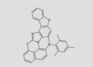 Cc1cc(C)c(B2c3cc4oc5ccccc5c4c4nc5sc6cccc7ccc2c(c76)n5c34)c(C)c1